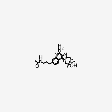 COCc1nc2c(N)nc3cc(CCCNC(C)=O)ccc3c2n1CC(C)(C)O